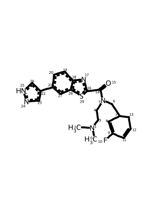 CN(C)CCN(CC1C=C(F)C=CC1)C(=O)c1nc2ccc(-c3cn[nH]c3)cc2s1